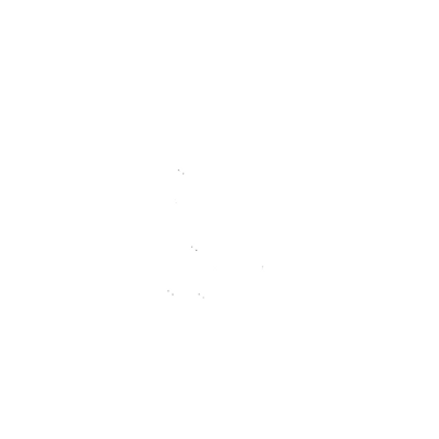 CCN(C)C(=O)Cn1cnnc1C